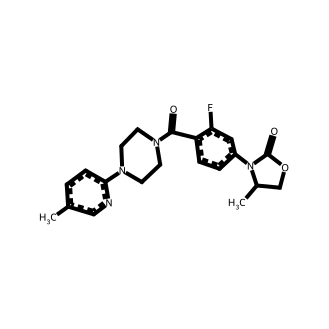 Cc1ccc(N2CCN(C(=O)c3ccc(N4C(=O)OCC4C)cc3F)CC2)nc1